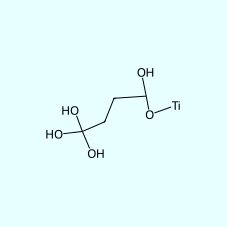 OC(CCC(O)(O)O)[O][Ti]